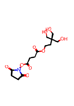 O=C(CCC(=O)ON1C(=O)CCC1=O)OCCC(CO)(CO)CO